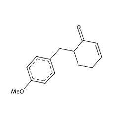 COc1ccc(CC2CCC=CC2=O)cc1